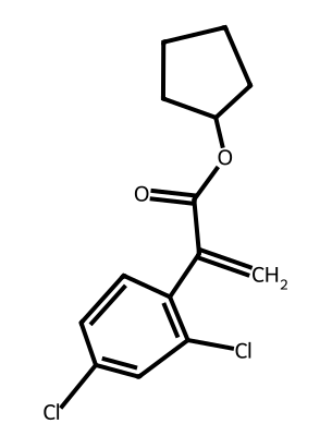 C=C(C(=O)OC1CCCC1)c1ccc(Cl)cc1Cl